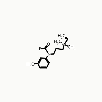 C=C[Si](C)(C)CCCN(C(=O)F)c1cccc(C)c1